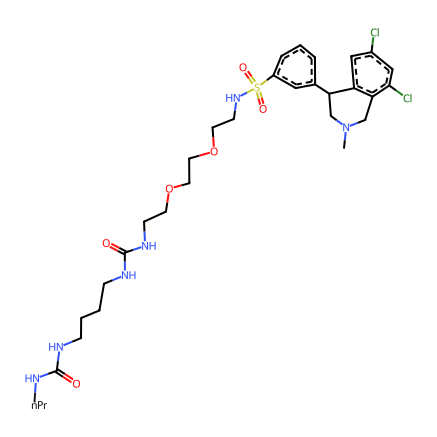 CCCNC(=O)NCCCCNC(=O)NCCOCCOCCNS(=O)(=O)c1cccc(C2CN(C)Cc3c(Cl)cc(Cl)cc32)c1